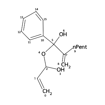 C=CC(O)OC(O)(C(=C)CCCCC)c1ccccc1